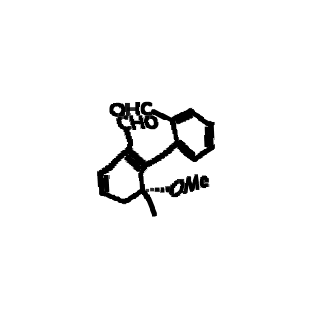 CO[C@]1(C)CC=CC(C=O)=C1c1ccccc1C=O